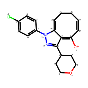 OC1=c2\c(C3CCOCC3)nn(-c3ccc(Cl)cc3)\c2=C\CC/C=C\1